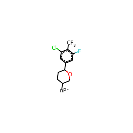 CCCC1CCC(c2cc(F)c(C(F)(F)F)c(Cl)c2)OC1